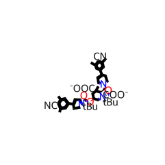 Cc1cc(C2=CCN(C(=O)[C@@H]3[C@@](C)(C(=O)[O-])C[C@@H](OC(=O)[N+]4(C(C)(C)C)CC=C(c5cc(C)c(C#N)c(C)c5)CC4)C[N+]3(C(=O)[O-])C(C)(C)C)CC2)cc(C)c1C#N